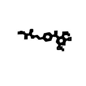 CCCCNC(=O)OCCc1ccc(Nc2cc(C)nc(Cl)c2[N+](=O)[O-])cc1